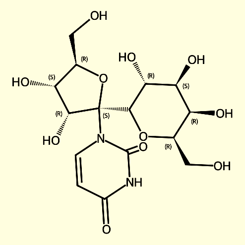 O=c1ccn([C@]2(C3O[C@H](CO)[C@H](O)[C@H](O)[C@H]3O)O[C@H](CO)[C@@H](O)[C@H]2O)c(=O)[nH]1